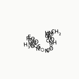 C=C1CCC(N2C(=O)c3cccc(N[C@H]4C[C@H](OC5CCN(C[C@H]6CC[C@H](c7nc8cc(OC)c(NC(=O)c9cccc(C(F)(F)F)n9)cc8s7)CC6)CC5)C4)c3C2=O)C(=O)N1